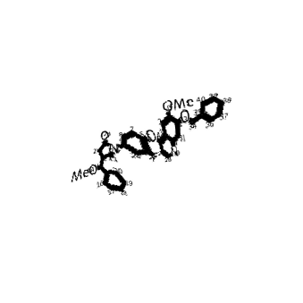 COc1cc2c(Oc3ccc(N4CC(C(OC)c5ccccc5)CC4=O)cc3F)ccnc2cc1OCc1ccccc1